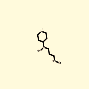 CCCN(CCCNCC)C1CCNCC1